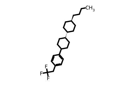 CCCC[C@H]1CC[C@H](C2CCC(c3ccc(CC(F)(F)F)cc3)CC2)CC1